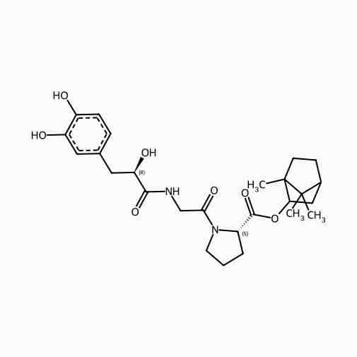 CC1(C)C2CCC1(C)C(OC(=O)[C@@H]1CCCN1C(=O)CNC(=O)[C@H](O)Cc1ccc(O)c(O)c1)C2